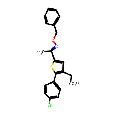 C/C(=N\OCc1ccccc1)c1cc(CC(=O)O)c(-c2ccc(Cl)cc2)s1